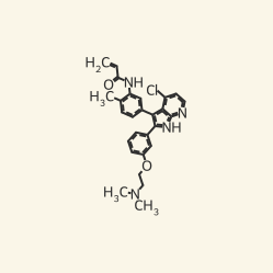 C=CC(=O)Nc1cc(-c2c(-c3cccc(OCCN(C)C)c3)[nH]c3nccc(Cl)c23)ccc1C